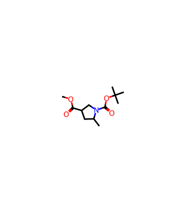 COC(=O)C1CC(C)N(C(=O)OC(C)(C)C)C1